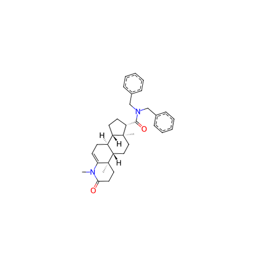 CN1C(=O)CC[C@@]2(C)C1=CC[C@H]1[C@@H]3CC[C@H](C(=O)N(Cc4ccccc4)Cc4ccccc4)[C@@]3(C)CC[C@@H]12